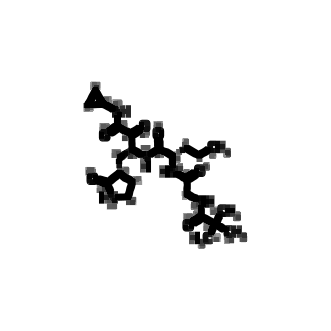 CCC[C@H](NC(=O)CNC(=O)C(C)(C)C)C(=O)N[C@@H](C[C@@H]1CCNC1=O)C(=O)C(=O)NC1CC1